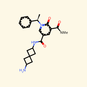 CNC(=O)c1cc(C(=O)NC2CC3(CC(N)C3)C2)cn([C@H](C)c2ccccc2)c1=O